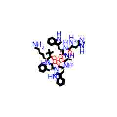 C[C@H](NC(=O)[C@@H](Cc1c[nH]c2ccccc12)NC(=O)[C@@H](N)Cc1cnc[nH]1)C(=O)N[C@@H](Cc1c[nH]c2ccccc12)C(=O)N[C@H](Cc1ccccc1)C(=O)N[C@@H](CCCCCN)C(=O)C(C)(C)C